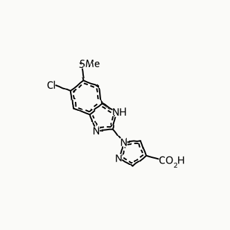 CSc1cc2[nH]c(-n3cc(C(=O)O)cn3)nc2cc1Cl